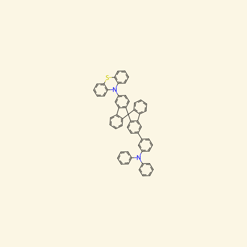 c1ccc(N(c2ccccc2)c2cccc(-c3ccc4c(c3)-c3ccccc3C43c4ccccc4-c4cc(N5c6ccccc6Sc6ccccc65)ccc43)c2)cc1